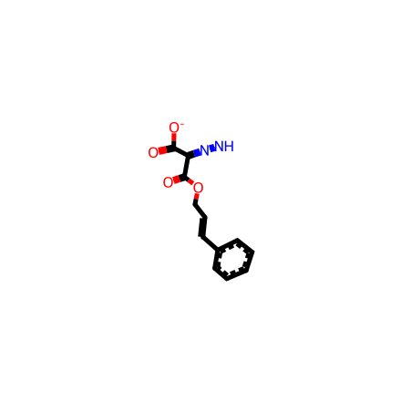 N=[N+]=C(C(=O)[O-])C(=O)OCC=Cc1ccccc1